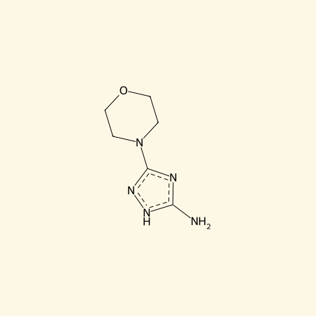 Nc1nc(N2CCOCC2)n[nH]1